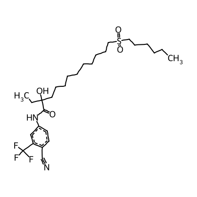 CCCCCCS(=O)(=O)CCCCCCCCCCC(O)(CC)C(=O)Nc1ccc(C#N)c(C(F)(F)F)c1